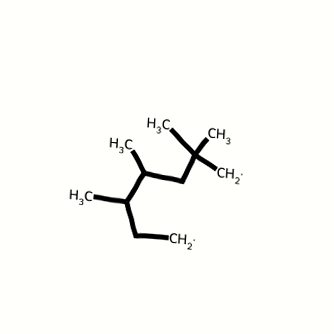 [CH2]CC(C)C(C)CC([CH2])(C)C